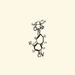 CC1(C)OB(C2=Cc3c(F)cc(C#N)cc3CC2)OC1(C)C